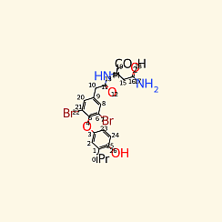 CC(C)c1cc(Oc2c(Br)cc(CC(=O)N[C@H](CC(N)=O)C(=O)O)cc2Br)ccc1O